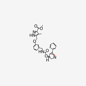 COC(=O)c1n[nH]c(COc2cccc(CNC(=O)O[C@H]3CN4CCC3C(c3ccccc3)C4)c2)c1C